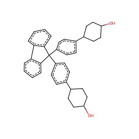 OC1CCC(c2ccc(C3(c4ccc(C5CCC(O)CC5)cc4)c4ccccc4-c4ccccc43)cc2)CC1